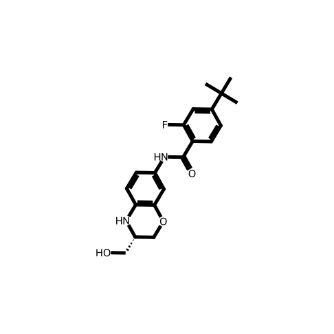 CC(C)(C)c1ccc(C(=O)Nc2ccc3c(c2)OC[C@H](CO)N3)c(F)c1